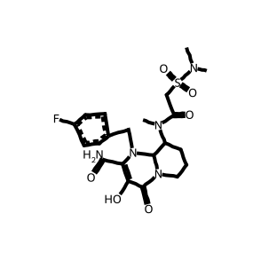 CN(C(=O)CS(=O)(=O)N(C)C)C1CCCN2C(=O)C(O)=C(C(N)=O)N(Cc3ccc(F)cc3)C12